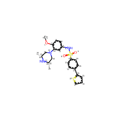 CCOc1ccc(NS(=O)(=O)c2ccc(-c3cccs3)cc2)cc1N1C[C@@H](C)N[C@@H](C)C1